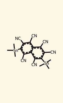 [CH3][Sn]([CH3])([CH3])[c]1c(C#N)c(C#N)c2c(C#N)c(C#N)[c]([Sn]([CH3])([CH3])[CH3])c(C#N)c2c1C#N